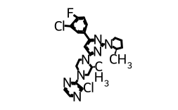 C[C@@H]1CCCN1c1nc(-c2ccc(F)c(Cl)c2)cc(N2CCN(c3nccnc3Cl)C[C@@H]2C)n1